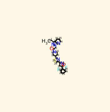 CCc1nn(CC(=O)N2CCC(c3nc(C4=NOC(c5c(F)cccc5F)C4)cs3)CC2)c2ncccc12